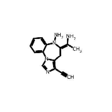 C#Cc1ncn2c1C/C(=C(\C)N)N(N)c1ccccc1-2